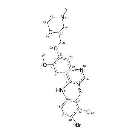 COc1cc2c(Nc3ccc(Br)c(Cl)c3C)ncnc2cc1OCC1CN(C)CCO1